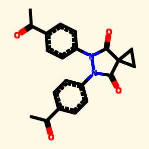 CC(=O)c1ccc(N2C(=O)C3(CC3)C(=O)N2c2ccc(C(C)=O)cc2)cc1